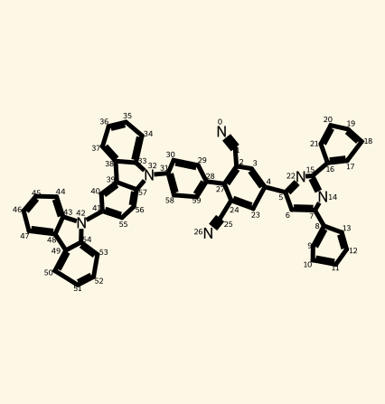 N#Cc1cc(-c2cc(-c3ccccc3)nc(-c3ccccc3)n2)cc(C#N)c1-c1ccc(-n2c3ccccc3c3cc(-n4c5ccccc5c5ccccc54)ccc32)cc1